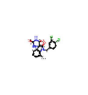 CCc1cccc2c1N(Cc1ccc(Cl)c(Cl)c1)C(=O)C21NC(=O)NC1=O